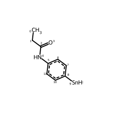 CCC(=O)Nc1cc[c]([SnH])cc1